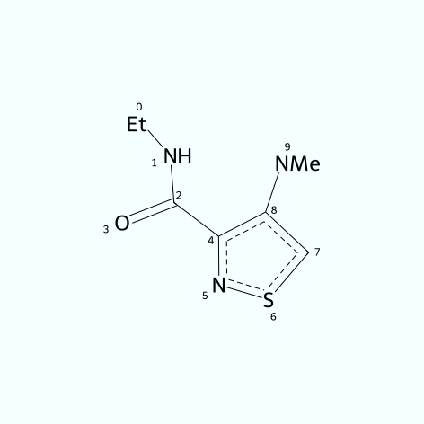 CCNC(=O)c1nscc1NC